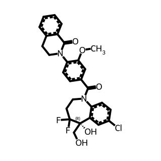 COc1cc(C(=O)N2CCC(F)(F)[C@](O)(CO)c3cc(Cl)ccc32)ccc1N1CCc2ccccc2C1=O